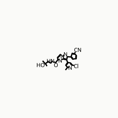 Cc1cc(-c2c(-c3cccc(C#N)c3)nn3ccc(C(=O)NCCC(C)(C)O)nc23)cc(Cl)n1